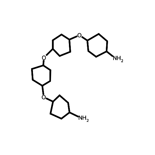 NC1CCC(OC2CCC(OC3CCC(OC4CCC(N)CC4)CC3)CC2)CC1